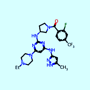 CCN1CCN(c2cc(Nc3cc(C)[nH]n3)nc(N[C@H]3CCN(C(=O)c4ccc(C(F)(F)F)cc4F)C3)n2)CC1